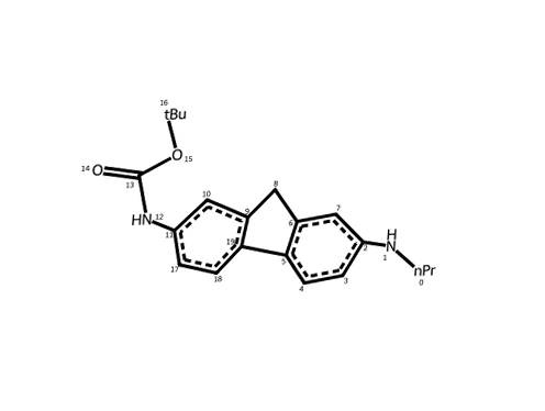 CCCNc1ccc2c(c1)Cc1cc(NC(=O)OC(C)(C)C)ccc1-2